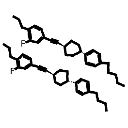 CCCCCc1ccc([C@H]2CC[C@H](C#Cc3ccc(CCC)c(F)c3)CC2)cc1.CCCCc1ccc([C@H]2CC[C@H](C#Cc3ccc(CCC)c(F)c3)CC2)cc1